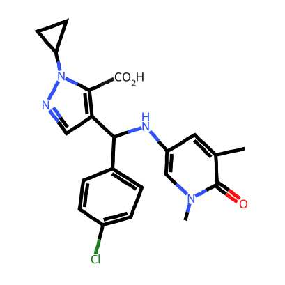 Cc1cc(NC(c2ccc(Cl)cc2)c2cnn(C3CC3)c2C(=O)O)cn(C)c1=O